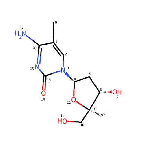 Cc1cn([C@H]2C[C@H](O)[C@@](C)(CO)O2)c(=O)nc1N